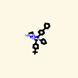 CC(C)(C)c1ccc(-c2nnc(-c3ccc(-c4ccccc4)cc3)n2-c2ccccc2)cc1.c1c[nH]nn1